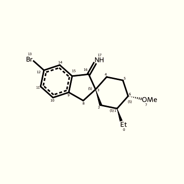 CC[C@H]1C[C@@]2(CC[C@@H]1OC)Cc1ccc(Br)cc1C2=N